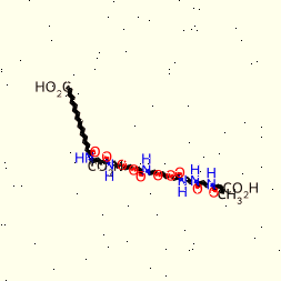 CC(CC(=O)NCCC(=O)NCCNC(=O)COCCOCCNC(=O)COCCOCCNC(=O)CC[C@H](NC(=O)CCCCCCCCCCCCCCCCC(=O)O)C(=O)O)C(=O)O